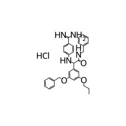 CCCOc1cc(OCc2ccccc2)cc(C(Nc2ccc(C(=N)N)cc2)C(=O)NCc2ccccc2)c1.Cl